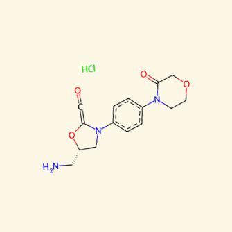 Cl.NC[C@H]1CN(c2ccc(N3CCOCC3=O)cc2)C(=C=O)O1